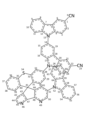 N#Cc1ccc2c(c1)c1ccccc1n2-c1ccc2c(c1)c1cc(C#N)ccc1n2-c1ccc2c(c1)Sc1ccccc1C21c2cccnc2-c2ncc(-n3c4ccccc4c4ccccc43)cc21